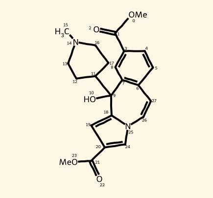 COC(=O)c1ccc2c(c1)C(O)(C1CCN(C)CC1)c1cc(C(=O)OC)cn1C=C2